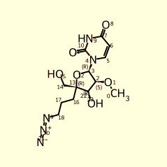 CO[C@@H]1[C@H](n2ccc(=O)[nH]c2=O)O[C@@](CO)(CCCN=[N+]=[N-])[C@@H]1O